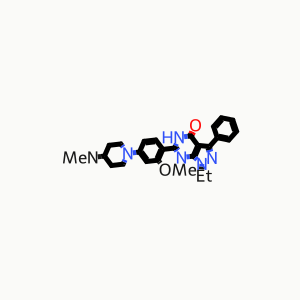 CCn1nc(-c2ccccc2)c2c(=O)[nH]c(-c3ccc(N4CCC(NC)CC4)cc3OC)nc21